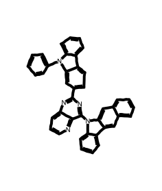 c1ccc(-n2c3ccccc3c3ccc(-c4nc(-n5c6ccccc6c6cc7ccccc7cc65)c5ncccc5n4)cc32)cc1